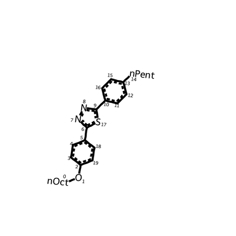 CCCCCCCCOc1ccc(-c2nnc(-c3ccc(CCCCC)cc3)s2)cc1